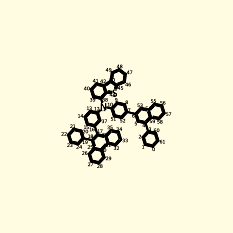 c1ccc(-c2cc(-c3ccc(N(c4cccc(-c5c(-c6ccccc6)c6ccccc6c6ccccc56)c4)c4cccc5c4sc4ccccc45)cc3)cc3ccccc23)cc1